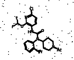 CC(=O)N1CCC(N(C(=O)Nc2ccc(Cl)nc2OC(F)F)c2ccccc2C(C)C)CC1